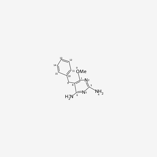 COc1nc(N)nc(N)c1Cc1ccccc1